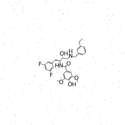 CCc1cccc(CNC[C@@H](O)[C@H](Cc2cc(F)cc(F)c2)NC(=O)c2cc(OC)c(O)c(OC)c2)c1